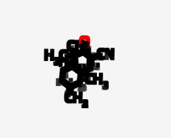 C=C1CC[C@H]2C(C)(C)C(=O)C(C#N)=C[C@@]2(C)C1